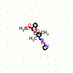 CO/C=C(/C(=O)OC)c1ccccc1COc1cc(C)c(/C=N/OCc2ccccn2)cc1C